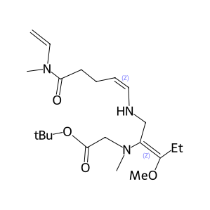 C=CN(C)C(=O)CC/C=C\NC/C(=C(\CC)OC)N(C)CC(=O)OC(C)(C)C